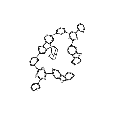 c1ccc(-c2nc(-c3cccc(-c4ccc5c(c4)C4(c6cc(-c7cccc(-c8nc(-c9ccccc9)nc(-c9ccc%10c(c9)oc9ccccc9%10)n8)c7)ccc6-5)C5CC6CC(C5)CC4C6)c3)nc(-c3ccc4c(c3)oc3ccccc34)n2)cc1